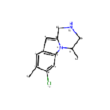 Cc1cc2cc3n(c2cc1Cl)C(C)CNC3